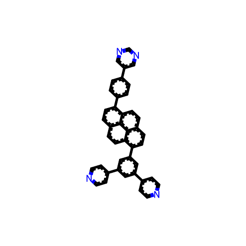 c1cc(-c2cc(-c3ccncc3)cc(-c3ccc4ccc5c(-c6ccc(-c7cncnc7)cc6)ccc6ccc3c4c65)c2)ccn1